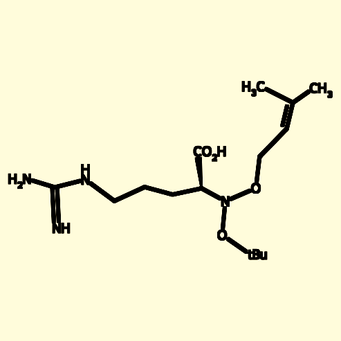 CC(C)=CCON(OC(C)(C)C)[C@@H](CCCNC(=N)N)C(=O)O